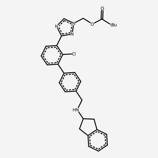 CC(C)(C)C(=O)OCn1cnc(-c2cccc(-c3ccc(CNC4Cc5ccccc5C4)cc3)c2Cl)n1